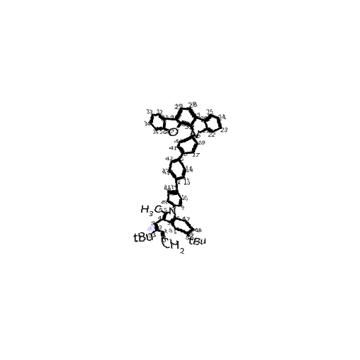 C=C/C(=C\c1c(C)n(-c2ccc(-c3ccc(-c4ccc(-n5c6ccccc6c6ccc7c8ccccc8oc7c65)cc4)cc3)cc2)c2ccc(C(C)(C)C)cc12)C(C)(C)C